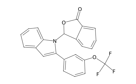 O=C1OC(n2c(-c3cccc(OC(F)(F)F)c3)cc3ccccc32)c2ccccc21